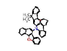 CC1(C)c2ccccc2-c2ccc(N(c3ccccc3-c3ccccc3)c3cc4ccccc4c4oc5ccccc5c34)cc21